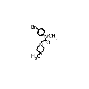 CN1CCN(CC(=O)N(C)c2ccc(Br)cc2)CC1